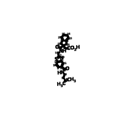 CN(C)CCNC(=O)c1ccc2sc(CNC(=O)C3(CC(=O)O)Cc4ccccc4C3)nc2c1